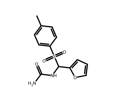 Cc1ccc(S(=O)(=O)C(NC(N)=O)c2ccco2)cc1